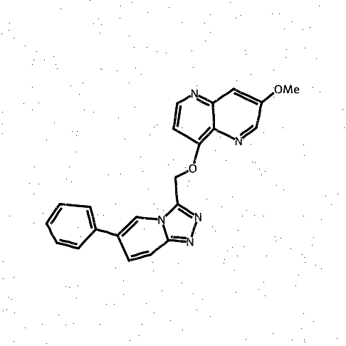 COc1cnc2c(OCc3nnc4ccc(-c5ccccc5)cn34)ccnc2c1